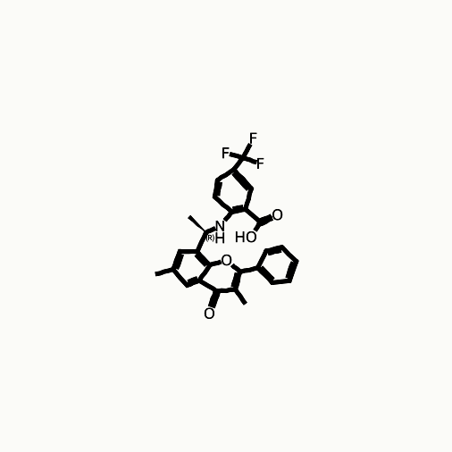 Cc1cc([C@@H](C)Nc2ccc(C(F)(F)F)cc2C(=O)O)c2oc(-c3ccccc3)c(C)c(=O)c2c1